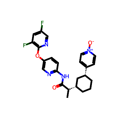 CC(C(=O)Nc1ccc(Oc2ncc(F)cc2F)cn1)[C@H]1CCC[C@@H](c2cc[n+]([O-])cc2)C1